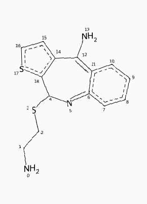 NCCSC1N=c2ccccc2=C(N)c2ccsc21